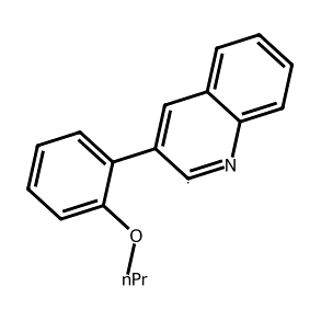 CCCOc1ccccc1-c1[c]nc2ccccc2c1